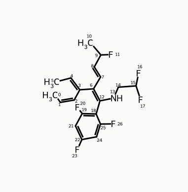 C\C=C/C(=C\C)C(/C=CC(C)F)=C(/NCC(F)F)c1c(F)cc(F)cc1F